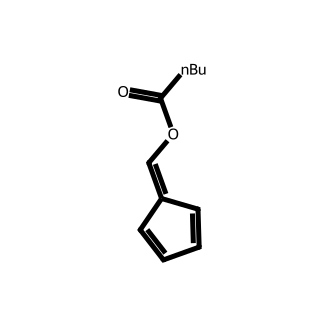 CCCCC(=O)OC=C1C=CC=C1